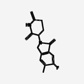 C=C1CCC(N2Cc3cc(C)c(F)cc3C2=C)C(=C)N1